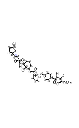 COC(=O)[C@H](C)NC(=O)N1CCN(C[C@@H]2CCCN2C(=O)CN2CCC[C@H](NS(=O)(=O)/C=C/c3ccc(Cl)s3)C2=O)CC1